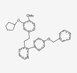 COc1ccc(CCc2cccnc2-c2ccc(OCc3ccccc3)cc2)cc1OC1CCCC1